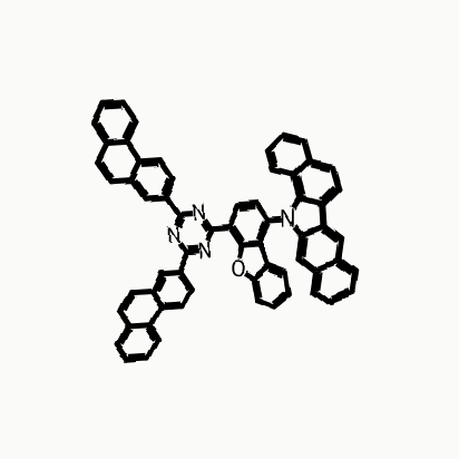 c1ccc2cc3c(cc2c1)c1ccc2ccccc2c1n3-c1ccc(-c2nc(-c3ccc4c(ccc5ccccc54)c3)nc(-c3ccc4c(ccc5ccccc54)c3)n2)c2oc3ccccc3c12